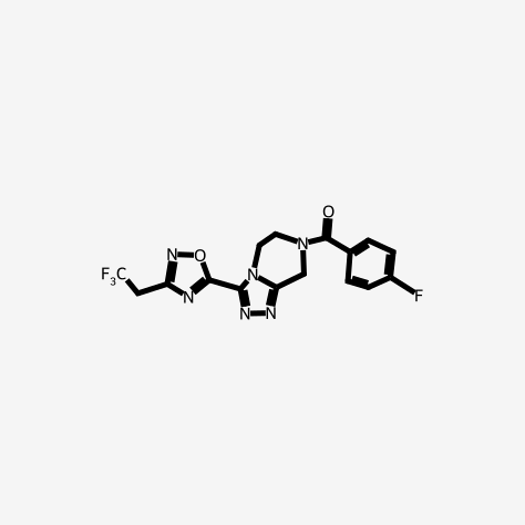 O=C(c1ccc(F)cc1)N1CCn2c(nnc2-c2nc(CC(F)(F)F)no2)C1